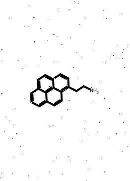 NCCc1ccc2ccc3cccc4ccc1c2c34